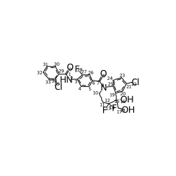 O=C(Nc1ccc(C(=O)N2CCC(F)(F)[C@](O)(CO)c3cc(Cl)ccc32)cc1F)c1ccccc1Cl